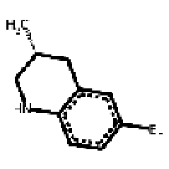 CCc1ccc2c(c1)C[C@@H](C)CN2